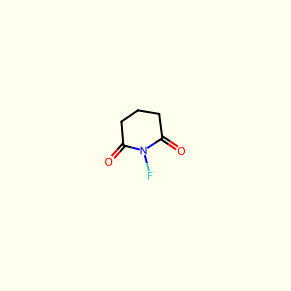 O=C1CCCC(=O)N1F